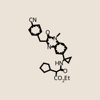 CCOC(=O)C(C(=O)NC1(c2ccc3c(c2)nc(Cc2ccc(C#N)cc2)c(=O)n3C)CC1)C1CCCC1